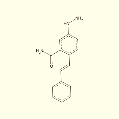 NNc1ccc(C=Cc2ccccc2)c(C(N)=O)c1